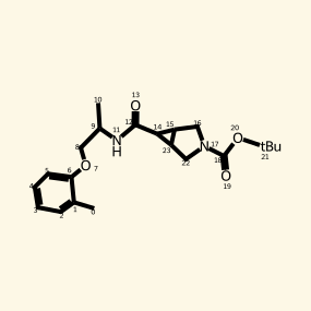 Cc1ccccc1OCC(C)NC(=O)C1C2CN(C(=O)OC(C)(C)C)CC21